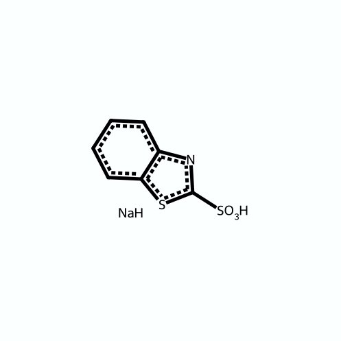 O=S(=O)(O)c1nc2ccccc2s1.[NaH]